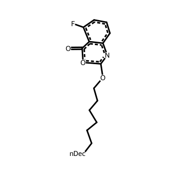 CCCCCCCCCCCCCCCCOc1nc2cccc(F)c2c(=O)o1